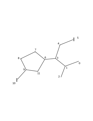 CC(C)C(CI)C1CCC(I)C1